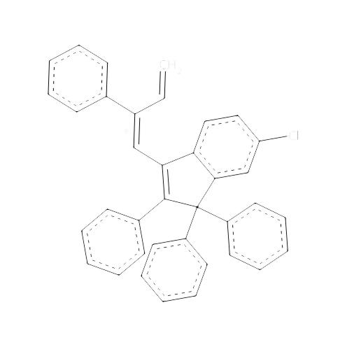 C=C/C(=C\C1=C(c2ccccc2)C(c2ccccc2)(c2ccccc2)c2cc(Cl)ccc21)c1ccccc1